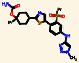 CC(C)C1(OC(N)=O)CCC(c2ncc(-c3ccc(Nc4cn(C)nn4)cc3S(=O)(=O)C(C)C)s2)CC1